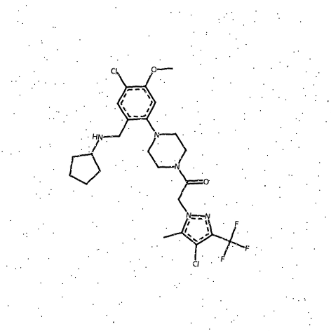 COc1cc(N2CCN(C(=O)Cn3nc(C(F)(F)F)c(Cl)c3C)CC2)c(CNC2CCCC2)cc1Cl